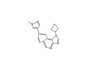 Cn1cc(-c2ccc3cnc4ncn(C5CCC5)c4c3c2)cn1